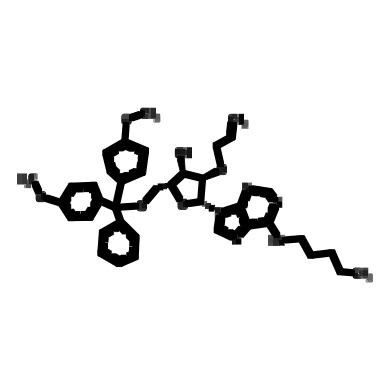 C=CCO[C@@H]1[C@H](O)[C@@H](COC(c2ccccc2)(c2ccc(OC)cc2)c2ccc(OC)cc2)O[C@H]1n1cnc2c(NCCCCC)ncnc21